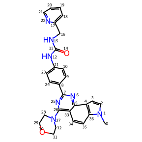 Cn1ccc2c3nc(-c4ccc(NC(=O)NCc5ccccn5)cc4)nc(N4CCOCC4)c3ccc21